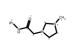 CC(C)NC(=O)CN1CCN(C)C1